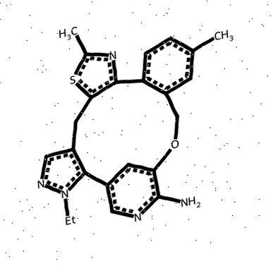 CCn1ncc2c1-c1cnc(N)c(c1)OCc1cc(C)ccc1-c1nc(C)sc1C2